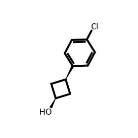 O[C@H]1C[C@@H](c2ccc(Cl)cc2)C1